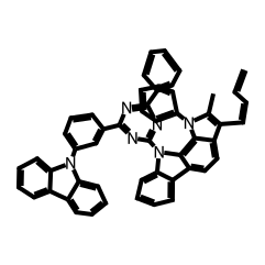 C=C/C=C\c1c(C)n(-c2ccccc2)c2c1ccc1c3ccccc3n(-c3nc(-c4ccccc4)nc(-c4cccc(-n5c6ccccc6c6ccccc65)c4)n3)c12